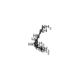 CC(=O)C(C)CCC[C@@H](C)[C@H]1CCC2C3C(CC[C@@]21C)[C@@]1(C)CC[C@H](NCCCNCCCCNCCCN)CC1=C[C@H]3O